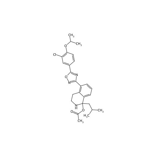 CC(=O)OC1(CC(C)C)NCCc2c(-c3noc(-c4ccc(OC(C)C)c(Cl)c4)n3)cccc21